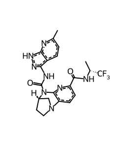 Cc1ccc2c(NC(=O)N3c4nc(C(=O)N[C@H](C)C(F)(F)F)ccc4N4CC[C@H]3C4)n[nH]c2n1